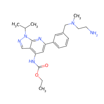 CCOC(=O)Nc1cc(-c2cccc(CN(C)CCN)c2)nc2c1cnn2C(C)C